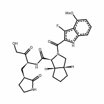 COc1cccc2[nH]c(C(=O)N3C[C@@H]4CCC[C@@H]4[C@H]3C(=O)N[C@@H](C[C@@H]3CCNC3=O)C(=O)CO)c(F)c12